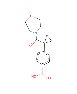 O=C(N1CCOCC1)C1(c2ccc(B(O)O)cc2)CC1